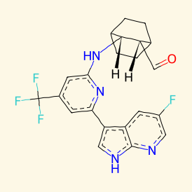 O=C[C@H]1C2CCC(CC2)[C@H]1Nc1cc(C(F)(F)F)cc(-c2c[nH]c3ncc(F)cc23)n1